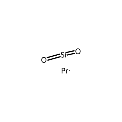 O=[Si]=O.[Pr]